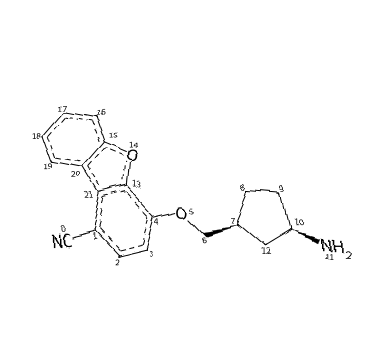 N#Cc1ccc(OC[C@H]2CC[C@@H](N)C2)c2oc3ccccc3c12